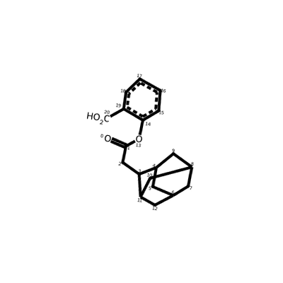 O=C(CC1C2CC3CC(C2)CC1C3)Oc1ccccc1C(=O)O